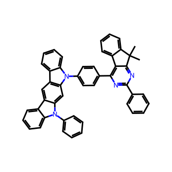 CC1(C)c2ccccc2-c2c(-c3ccc(-n4c5ccccc5c5cc6c7ccccc7n(-c7ccccc7)c6cc54)cc3)nc(-c3ccccc3)nc21